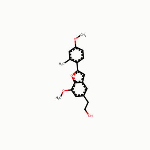 COc1ccc(-c2cc3cc(CCO)cc(OC)c3o2)c(C)c1